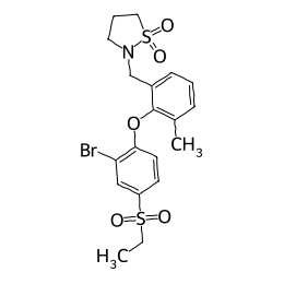 CCS(=O)(=O)c1ccc(Oc2c(C)cccc2CN2CCCS2(=O)=O)c(Br)c1